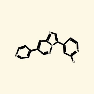 Clc1cc(-c2cnc3cc(-c4ccncc4)cnn23)ccn1